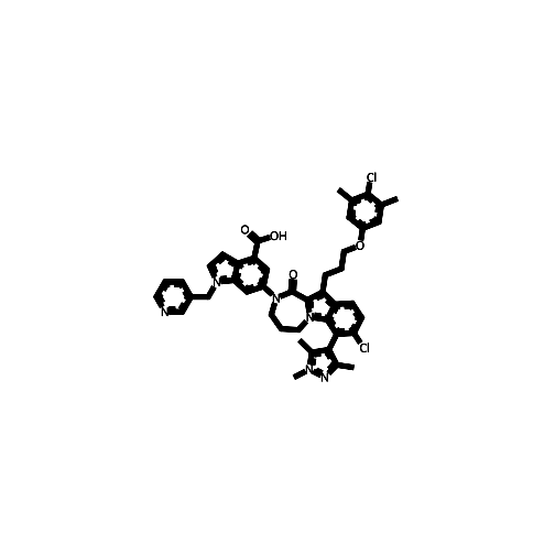 Cc1cc(OCCCc2c3n(c4c(-c5c(C)nn(C)c5C)c(Cl)ccc24)CCCN(c2cc(C(=O)O)c4ccn(Cc5cccnc5)c4c2)C3=O)cc(C)c1Cl